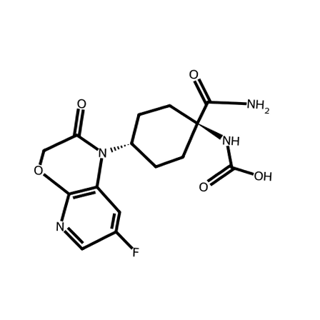 NC(=O)[C@]1(NC(=O)O)CC[C@H](N2C(=O)COc3ncc(F)cc32)CC1